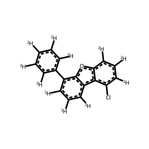 [2H]c1c([2H])c([2H])c(-c2c([2H])c([2H])c([2H])c3c2oc2c([2H])c([2H])c([2H])c(Cl)c23)c([2H])c1[2H]